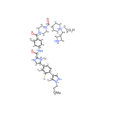 COCCn1ncc(-c2ccc(-c3cnc(C(=O)Nc4ccc(C(=O)N5CCN(C(=O)[C@H]6CC[N@+](CC(=O)O)(CC7CNC7)CC6)CC5)c(C)c4)n3C)c(C)c2F)c1C